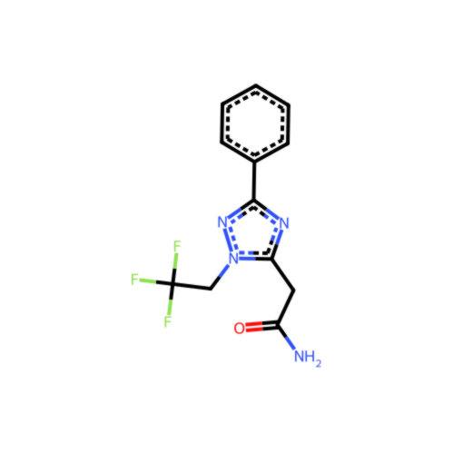 NC(=O)Cc1nc(-c2ccccc2)nn1CC(F)(F)F